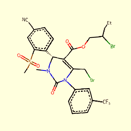 CCC(Br)COC(=O)C1=C(CBr)N(c2cccc(C(F)(F)F)c2)C(=O)N(C)[C@@H]1c1ccc(C#N)cc1S(C)(=O)=O